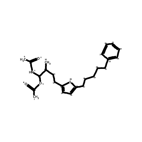 CC(=O)NC(OC(C)=O)C(C)CCc1ccc(CCCCCc2ccccc2)s1